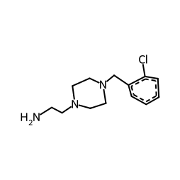 NCCN1CCN(Cc2ccccc2Cl)CC1